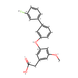 COc1cc(CC(=O)O)cc(Oc2cccc(-c3cccc(F)c3)c2)c1